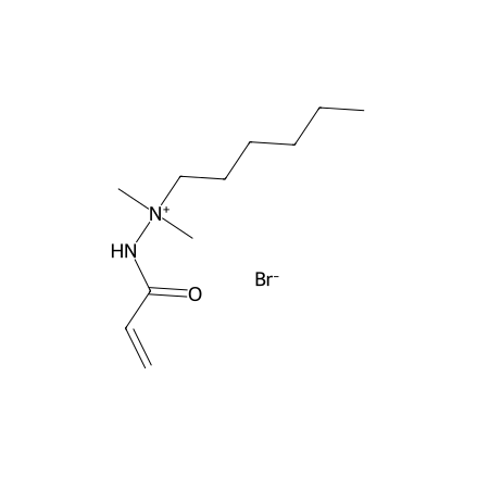 C=CC(=O)N[N+](C)(C)CCCCCC.[Br-]